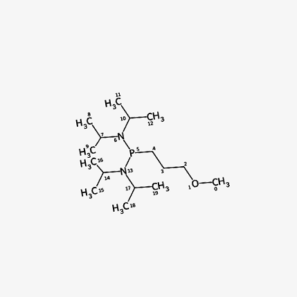 COCCCP(N(C(C)C)C(C)C)N(C(C)C)C(C)C